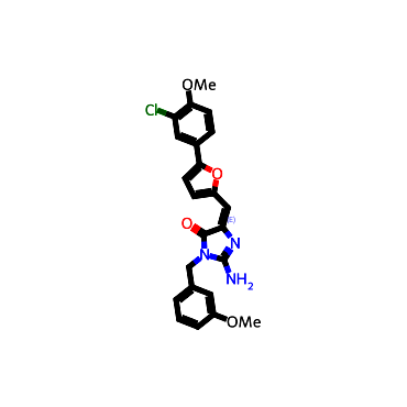 COc1cccc(CN2C(=O)/C(=C\c3ccc(-c4ccc(OC)c(Cl)c4)o3)N=C2N)c1